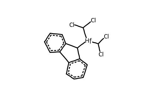 Cl[CH](Cl)[Hf]([CH](Cl)Cl)[CH]1c2ccccc2-c2ccccc21